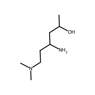 CC(O)CC(N)CCN(C)C